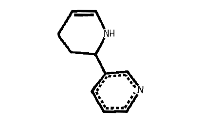 C1=CNC(c2cccnc2)CC1